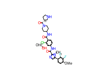 COc1ccc(-c2cnc(C(=O)Nc3ccc(C(=O)NC4CCN(C(=O)[C@@H]5CCNC5)CC4)c(Cl)c3)n2C)c(F)c1F.O=CO